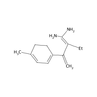 C=C(C1=CC=C(C)CC1)C(CC)=C(N)N